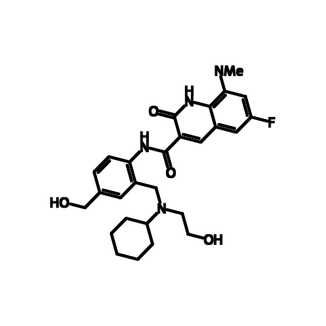 CNc1cc(F)cc2cc(C(=O)Nc3ccc(CO)cc3CN(CCO)C3CCCCC3)c(=O)[nH]c12